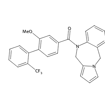 COc1cc(C(=O)N2Cc3cccn3Cc3ccccc32)ccc1-c1ccccc1C(F)(F)F